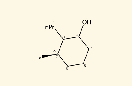 CCCC1C(O)CCC[C@H]1C